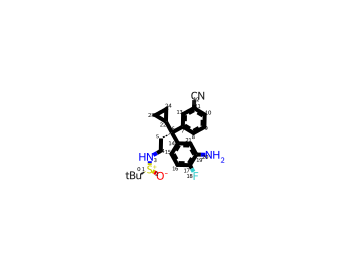 CC(C)(C)[S@@+]([O-])NCC[C@](c1cccc(C#N)c1)(c1ccc(F)c(N)c1)C1CC1